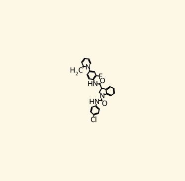 C=C1C=CC=CN1c1ccc(NC(=O)C2CN(C(=O)Nc3ccc(Cl)cc3)c3ccccc32)c(F)c1